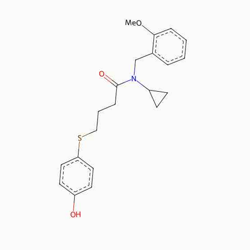 COc1ccccc1CN(C(=O)CCCSc1ccc(O)cc1)C1CC1